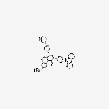 CC(C)(C)c1cc2ccc3c(-c4ccc(-c5cccnc5)cc4)cc(-c4ccc(-n5c6ccccc6c6ccccc65)cc4)c4ccc(c1)c2c34